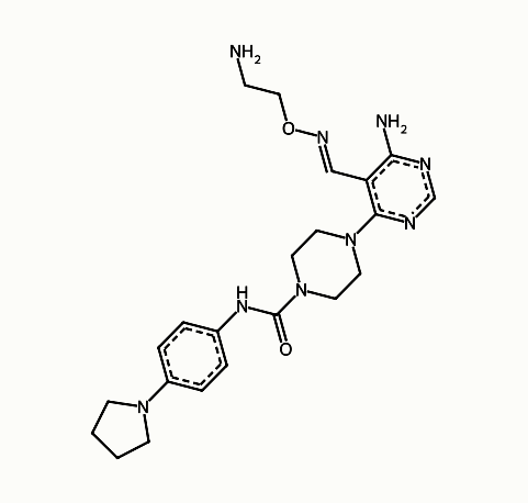 NCCO/N=C/c1c(N)ncnc1N1CCN(C(=O)Nc2ccc(N3CCCC3)cc2)CC1